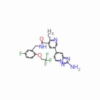 Cc1ncc(-c2ccn3nc(N)nc3c2)cc1C(=O)NCc1cc(F)ccc1OCC(F)(F)F